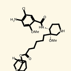 COc1cc(N)c(Cl)cc1C(=O)N[C@@H]1CCNC[C@]1(CCCCCC(=O)O[C@H]1CN2CCC1CC2)OC